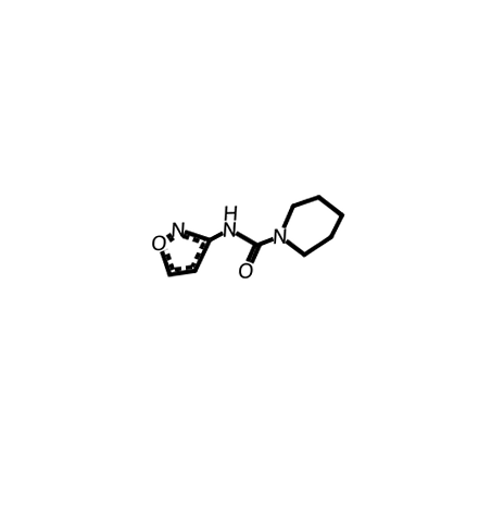 O=C(Nc1ccon1)N1CCCCC1